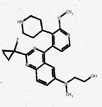 COc1nccc(-c2nc(C3(F)CC3)nc3ccc(N(C)CCO)cc23)c1C1CCNCC1